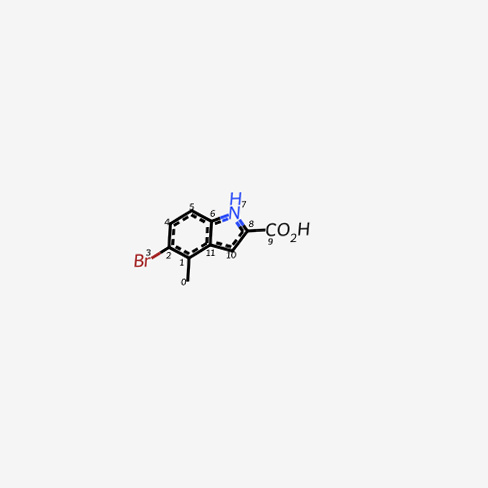 Cc1c(Br)ccc2[nH]c(C(=O)O)cc12